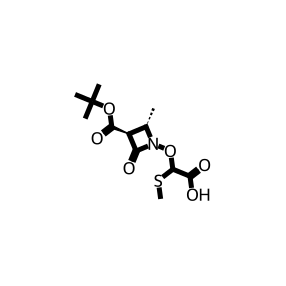 CSC(ON1C(=O)[C@@H](C(=O)OC(C)(C)C)[C@@H]1C)C(=O)O